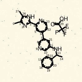 Cc1nc(-c2cc(-c3cncc(NC(C)c4ccccc4)c3)ccn2)[nH]c1C.O=C(O)C(F)(F)F